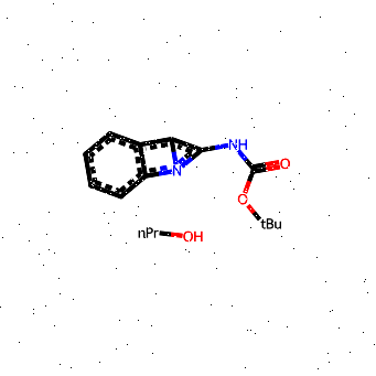 CC(C)(C)OC(=O)Nc1c2c3ccccc3n1-2.CCCO